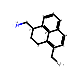 CCc1ccc2cccc3c2c1CCC3CN